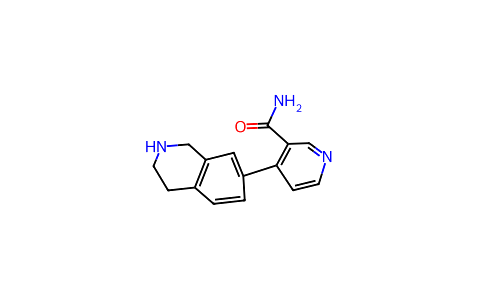 NC(=O)c1cnccc1-c1ccc2c(c1)CNCC2